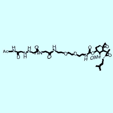 COC1C(OC(=O)NCCOCCOCCNC(=O)CNC(=O)CNNCC(=O)NCC(C)=O)CC[C@]2(CO2)C1C1(C)O[C@@H]1CC=C(C)C